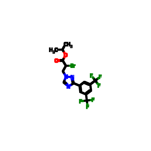 CC(C)OC(=O)C(Br)Cn1cnc(-c2cc(C(F)(F)F)cc(C(F)(F)F)c2)n1